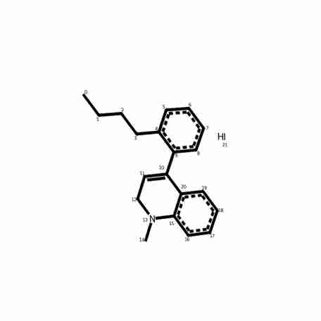 CCCCc1ccccc1C1=CCN(C)c2ccccc21.I